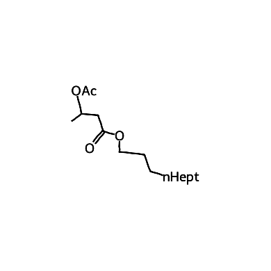 CCCCCCCCCCOC(=O)CC(C)OC(C)=O